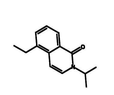 CCc1cccc2c(=O)n(C(C)C)ccc12